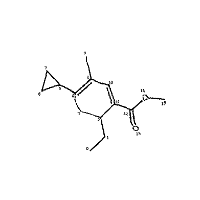 CCC1CC(C2CC2)=C(I)C=C1C(=O)OC